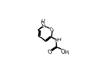 O=C(O)NC1=CC=CNO1